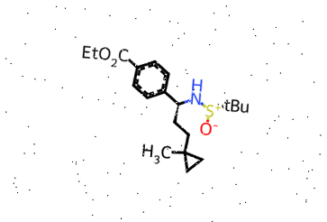 CCOC(=O)c1ccc([C@H](CCC2(C)CC2)N[S@+]([O-])C(C)(C)C)cc1